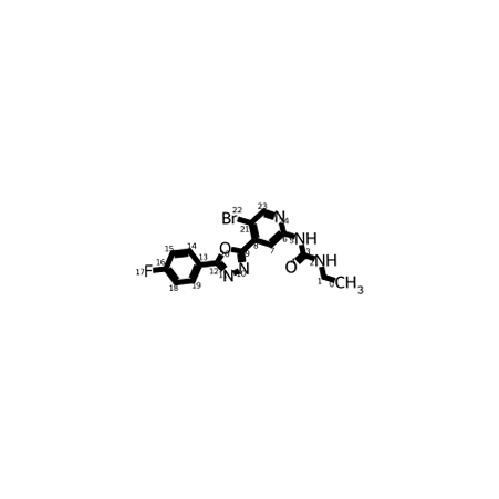 CCNC(=O)Nc1cc(-c2nnc(-c3ccc(F)cc3)o2)c(Br)cn1